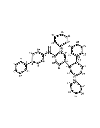 c1ccc(-c2ccc(Nc3ccc(-c4cc(-c5ccccc5)ccc4-c4ccccc4)cc3-c3ccccc3)cc2)cc1